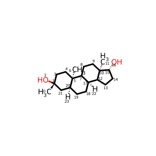 C[C@@]1(O)CC[C@@]2(C)C3CC[C@]4(C)C(CC[C@H]4O)[C@H]3CC[C@H]2C1